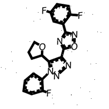 Fc1ccc(F)c(-c2noc(-c3nnn(-c4ccccc4F)c3C3CCCO3)n2)c1